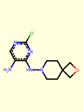 Nc1cnc(Cl)nc1NN1CCC2(CC1)COC2